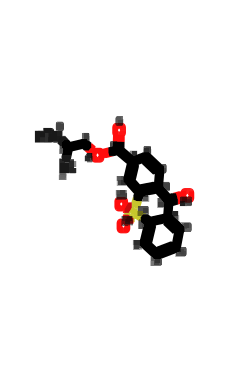 CCCCC(CC)COC(=O)c1ccc2c(c1)S(=O)(=O)c1ccccc1C2=O